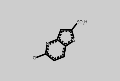 O=S(=O)(O)c1cc2nc(Cl)ccc2s1